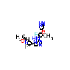 C=CC(=O)N1C[C@@H]2C[C@H](c3ccc4ncnc(Nc5cc(C)c(Oc6ccn7ncnc7c6)cc5F)c4n3)C[C@H]1C2